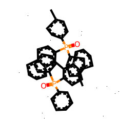 Cc1ccc(P(=O)(c2ccc(C)cc2)c2ccc3ccccc3c2-c2c(P(=O)(c3ccccc3)c3ccccc3)ccc3ccccc23)cc1